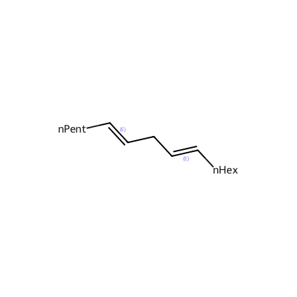 CCCCC/C=C/C/C=C/CCCCCC